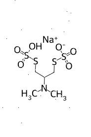 CN(C)C(CSS(=O)(=O)[O-])CSS(=O)(=O)O.[Na+]